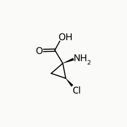 N[C@]1(C(=O)O)C[C@@H]1Cl